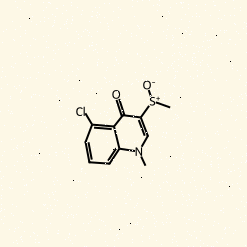 Cn1cc([S+](C)[O-])c(=O)c2c(Cl)cccc21